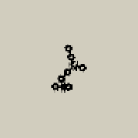 C1=CCC(c2nc(-c3ccc(-c4ccccc4)cc3)nc(-c3ccc(-c4cccc(-n5c(-c6ccccn6)nc6ccccc65)c4)cc3)n2)C=C1